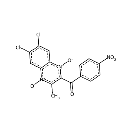 Cc1c(C(=O)c2ccc([N+](=O)[O-])cc2)[n+]([O-])c2cc(Cl)c(Cl)cc2[n+]1[O-]